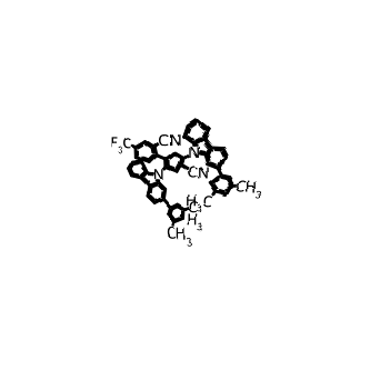 Cc1cc(C)cc(-c2ccc3c4ccccc4n(-c4cc(-c5ccc(C(F)(F)F)cc5C#N)c(-n5c6ccccc6c6ccc(-c7cc(C)cc(C)c7)cc65)cc4C#N)c3c2)c1